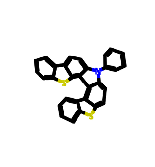 c1ccc(-n2c3ccc4c5ccccc5sc4c3c3c4c(ccc32)sc2ccccc24)cc1